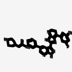 Cc1cc(F)cc(-c2ccnc3[nH]c(-c4n[nH]c5ncc(-c6cncc(NC(=O)CC7CCNCC7)c6)cc45)nc23)c1